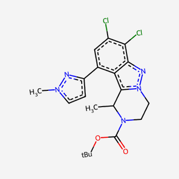 CC1c2c3c(-c4ccn(C)n4)cc(Cl)c(Cl)c3nn2CCN1C(=O)OC(C)(C)C